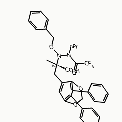 CCCN(C(=O)C(F)(F)F)N(OCc1ccccc1)[C@@](C)(Cc1cc2c(-c3ccccc3)c(-c3ccccc3)c1OCO2)C(=O)O